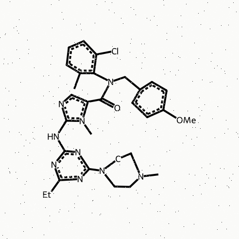 CCc1nc(Nc2ncc(C(=O)N(Cc3ccc(OC)cc3)c3c(C)cccc3Cl)n2C)nc(N2CCN(C)CC2)n1